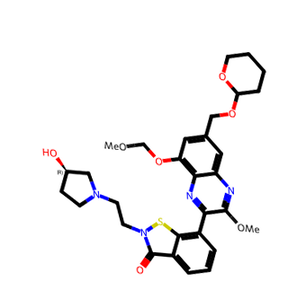 COCOc1cc(COC2CCCCO2)cc2nc(OC)c(-c3cccc4c(=O)n(CCN5CC[C@@H](O)C5)sc34)nc12